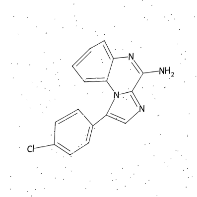 Nc1nc2ccccc2n2c(-c3ccc(Cl)cc3)cnc12